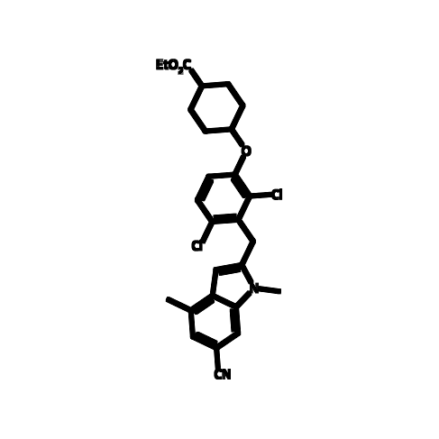 CCOC(=O)C1CCC(Oc2ccc(Cl)c(Cc3cc4c(C)cc(C#N)cc4n3C)c2Cl)CC1